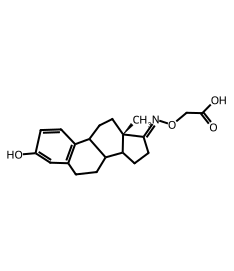 C[C@]12CCC3c4ccc(O)cc4CCC3C1CC/C2=N\OCC(=O)O